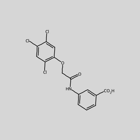 O=C(COc1cc(Cl)c(Cl)cc1Cl)Nc1cccc(C(=O)O)c1